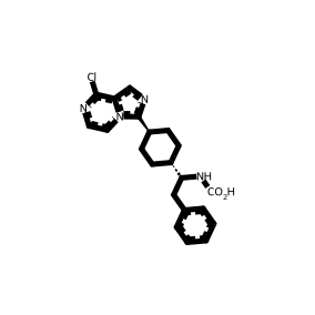 O=C(O)NC(Cc1ccccc1)[C@H]1CC[C@H](c2ncc3c(Cl)nccn32)CC1